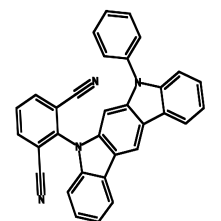 N#Cc1cccc(C#N)c1-n1c2ccccc2c2cc3c4ccccc4n(-c4ccccc4)c3cc21